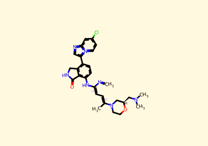 C=N/C(=C\C=C(/C)N1CCO[C@H](CN(C)C)C1)Nc1ccc(-c2cnc3cc(Cl)ccn23)c2c1C(=O)NC2